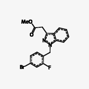 COC(=O)Cc1nn(Cc2ccc(Br)cc2F)c2ccccc12